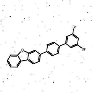 Brc1cc(Br)cc(-c2ccc(-c3ccc4c(c3)oc3ccccc34)cc2)c1